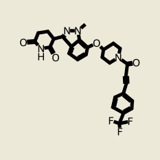 Cn1nc(C2CCC(=O)NC2=O)c2cccc(OC3CCN(C(=O)C#Cc4ccc(C(F)(F)F)cc4)CC3)c21